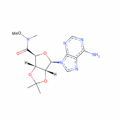 CON(C)C(=O)[C@H]1O[C@@H](n2cnc3c(N)ncnc32)[C@@H]2OC(C)(C)O[C@@H]21